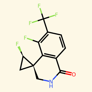 O=C1NC[C@]2(C[C@H]2F)c2c1ccc(C(F)(F)F)c2F